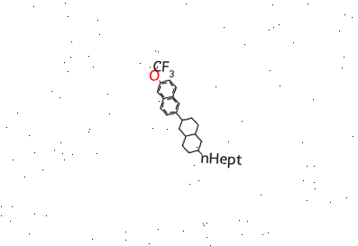 CCCCCCCC1CCC2CC(c3ccc4cc(OC(F)(F)F)ccc4c3)CCC2C1